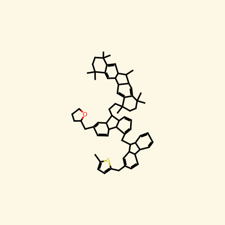 Cc1ccc(CC2=CC3C(C=C2)C2C=CC=CC2C3CC2=CC=CC3C(CCC4(C)CCC(C)(C)C5=CC6C(C)C7C=C8C(=CC7C6C=C54)C(C)(C)CCC8(C)C)C4C=C(CC5CCCO5)C=CC4C23)s1